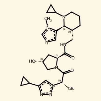 Cn1cncc1[C@@H]1[C@@H](CNC(=O)[C@@H]2C[C@@H](O)CN2C(=O)[C@@H](n2cc(C3CC3)nn2)C(C)(C)C)CCCN1C1CC1